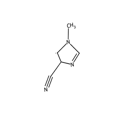 CN1[CH]C(C#N)N=C1